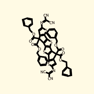 N#CC(C#N)=Nc1cc2c(s1)-c1sc3c4c(sc3c1C2(C(=O)OCc1ccccc1)C(=O)OCc1ccccc1)-c1sc(N=C(C#N)C#N)cc1C4(C(=O)OCc1ccccc1)C(=O)OCc1ccccc1